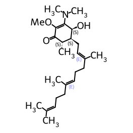 COC1=C(N(C)C)[C@@H](O)[C@@H](C/C=C(\C)CC/C=C(\C)CCC=C(C)C)[C@H](C)C1=O